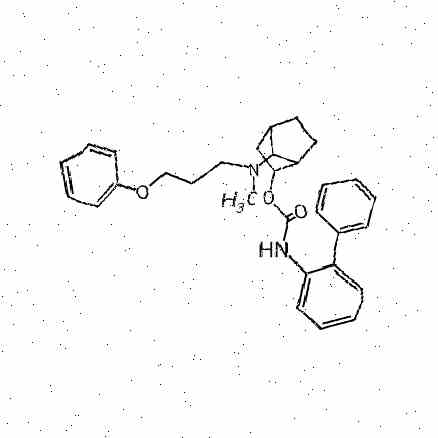 CN(CCCOc1ccccc1)C1C2CCC1C(OC(=O)Nc1ccccc1-c1ccccc1)C2